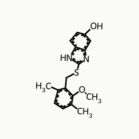 COc1c(C)ccc(C)c1CSc1nc2cc(O)ccc2[nH]1